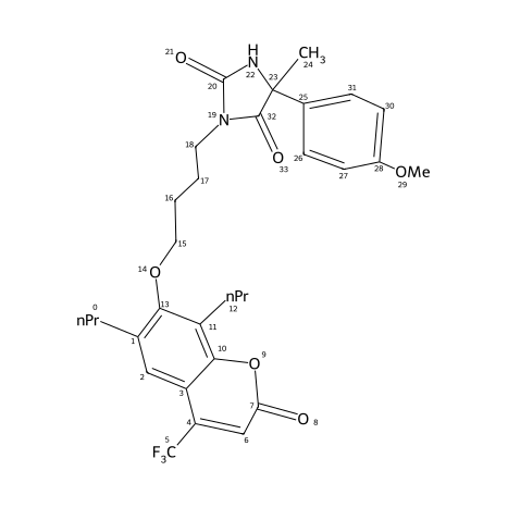 CCCc1cc2c(C(F)(F)F)cc(=O)oc2c(CCC)c1OCCCCN1C(=O)NC(C)(c2ccc(OC)cc2)C1=O